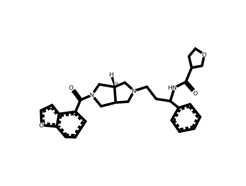 O=C(NC(CCN1CC2CN(C(=O)c3cccc4occc34)C[C@@H]2C1)c1ccccc1)C1CCOC1